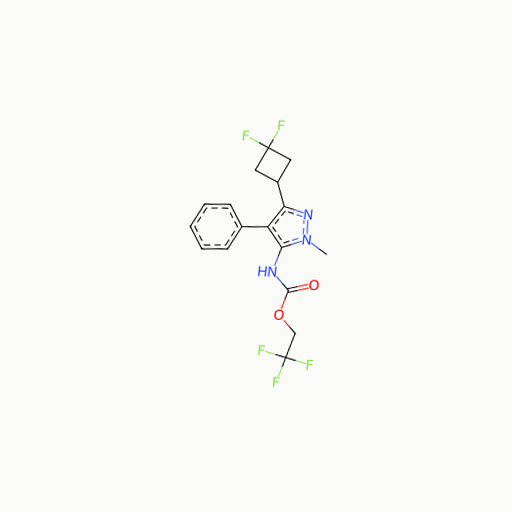 Cn1nc(C2CC(F)(F)C2)c(-c2ccccc2)c1NC(=O)OCC(F)(F)F